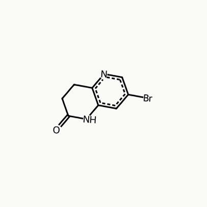 O=C1CCc2ncc(Br)cc2N1